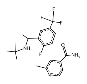 CC(NC(C)(C)C)c1cc(C(F)(F)F)ccc1F.Cc1cc(C(N)=O)ccn1